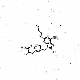 CCCCOc1nc(N)c2nc(O)n(Cc3cccc(CC(C)C(=O)O)c3)c2n1